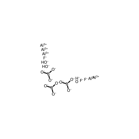 [Al+3].[Al+3].[Al+3].[Al+3].[Al+3].[F-].[F-].[F-].[O-]B([O-])[O-].[O-]B([O-])[O-].[O-]B([O-])[O-].[OH-].[OH-].[OH-]